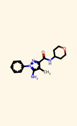 Cc1c(C(=O)NC2CCOCC2)nn(-c2ccccc2)c1N